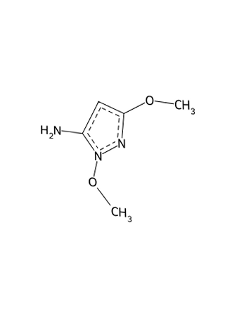 COc1cc(N)n(OC)n1